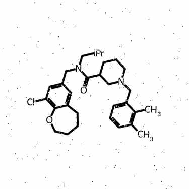 Cc1cccc(CN2CCCC(C(=O)N(Cc3cc(Cl)c4c(c3)CCCCO4)CC(C)C)C2)c1C